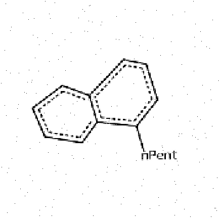 [CH2]CCCCc1cccc2ccccc12